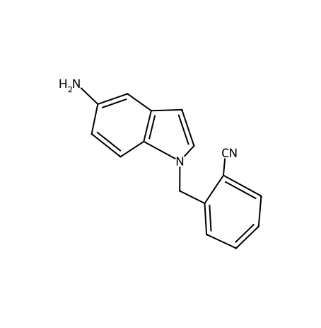 N#Cc1ccccc1Cn1ccc2cc(N)ccc21